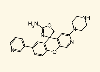 NC1=N[C@@]2(CO1)c1cc(-c3cccnc3)ccc1Oc1cnc(N3CCNCC3)cc12